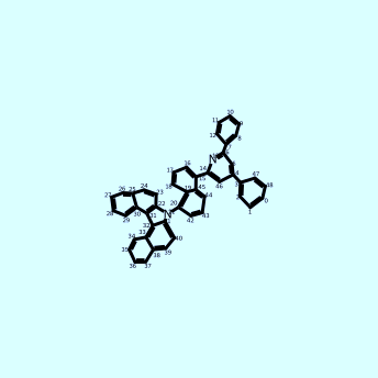 c1ccc(-c2cc(-c3ccccc3)nc(-c3cccc4c(-n5c6ccc7ccccc7c6c6c7ccccc7ccc65)cccc34)c2)cc1